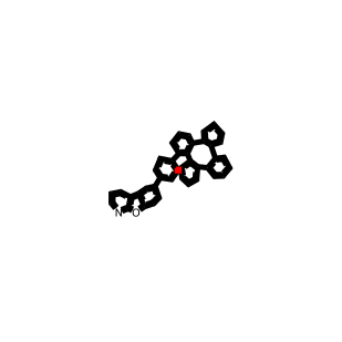 c1ccc2c(c1)-c1ccccc1-c1cccc(-c3ccc(-c4ccc5oc6ncccc6c5c4)cc3)c1-c1ccccc1-2